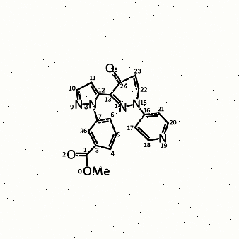 COC(=O)c1cccc(-n2nccc2-c2nn(-c3ccncc3)ccc2=O)c1